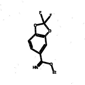 CCOC(=N)c1ccc2c(c1)OC(F)(F)O2